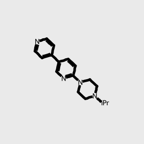 CC(C)N1CCN(c2ccc(-c3ccncc3)cn2)CC1